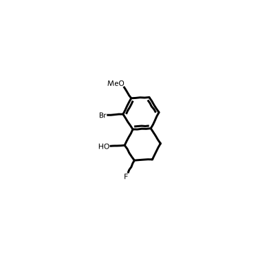 COc1ccc2c(c1Br)C(O)C(F)CC2